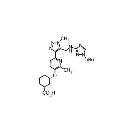 CCCCn1cnc(NCc2c(-c3ccc(O[C@H]4CCC[C@H](C(=O)O)C4)c(C)n3)nnn2C)n1